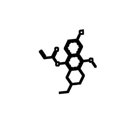 C=CC(=O)Oc1c2c(c(OC)c3cc(Cl)ccc13)CCC(CC)C2